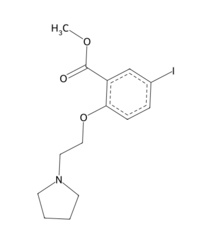 COC(=O)c1cc(I)ccc1OCCN1CCCC1